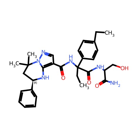 CCc1ccc(C(CC)(NC(=O)c2cnn3c2N[C@@H](c2ccccc2)CC3(C)C)C(=O)NC(CO)C(N)=O)cc1